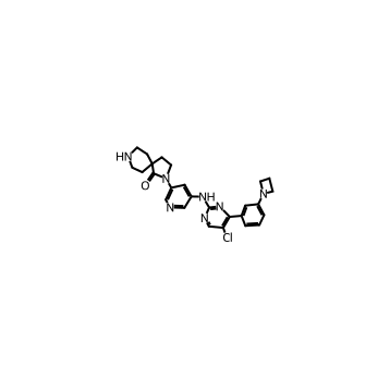 O=C1N(c2cncc(Nc3ncc(Cl)c(-c4cccc(N5CCC5)c4)n3)c2)CCC12CCNCC2